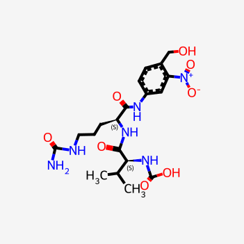 CC(C)[C@H](NC(=O)O)C(=O)N[C@@H](CCCNC(N)=O)C(=O)Nc1ccc(CO)c([N+](=O)[O-])c1